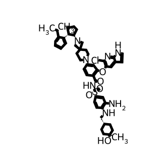 CC(C)c1ccccc1[C@@H]1CCC[C@@H]1N1CC2(CCN(c3ccc(C(=O)NS(=O)(=O)c4ccc(NC[C@H]5CC[C@](C)(O)CC5)c(N)c4)c(Oc4cc5cc[nH]c5nc4Cl)c3)CC2)C1